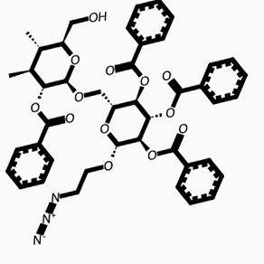 C[C@H]1[C@H](C)[C@@H](CO)O[C@@H](OC[C@H]2O[C@@H](OCCN=[N+]=[N-])[C@H](OC(=O)c3ccccc3)[C@@H](OC(=O)c3ccccc3)[C@@H]2OC(=O)c2ccccc2)[C@@H]1OC(=O)c1ccccc1